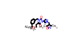 C=CCC1C(=O)N(c2cnn(Cc3c(C)noc3C)c2)C(=O)N1Cc1cccc(C(=O)NC)c1